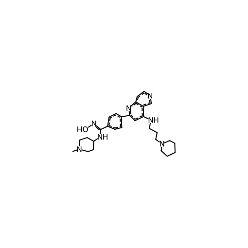 CN1CCC(N/C(=N\O)c2ccc(-c3cc(NCCCN4CCCCC4)c4cnccc4n3)cc2)CC1